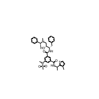 Cc1ccsc1C(C)NC(=O)c1cc(C(=O)N[C@@H](Cc2ccccc2)[C@H](O)CN(C)[C@@H](C)c2ccccc2)cc(N(C)S(C)(=O)=O)c1